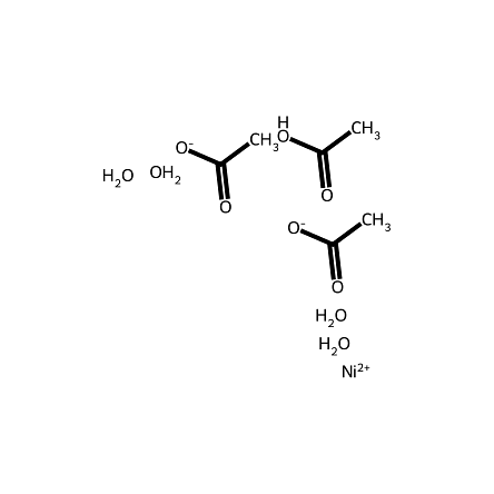 CC(=O)O.CC(=O)[O-].CC(=O)[O-].O.O.O.O.[Ni+2]